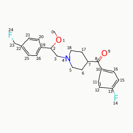 COC(CN1CCC(C(=O)c2ccc(F)cc2)CC1)c1ccc(CF)cc1